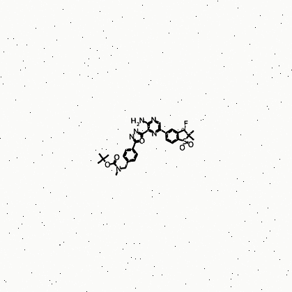 CN(Cc1ccc(-c2nnc(-c3nc(-c4ccc5c(c4)[C@H](F)C(C)(C)S5(=O)=O)cnc3N)o2)cc1)C(=O)OC(C)(C)C